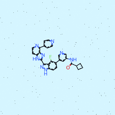 O=C(Nc1cncc(-c2ccc3[nH]nc(-c4nc5c(-c6ccncc6)nccc5[nH]4)c3c2F)c1)C1CCC1